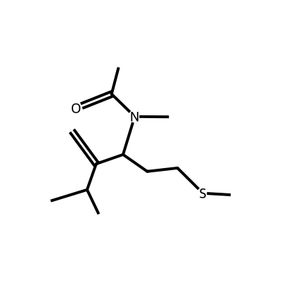 C=C(C(C)C)C(CCSC)N(C)C(C)=O